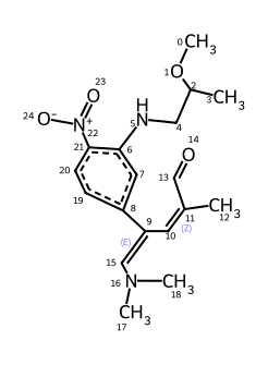 COC(C)CNc1cc(C(/C=C(/C)C=O)=C/N(C)C)ccc1[N+](=O)[O-]